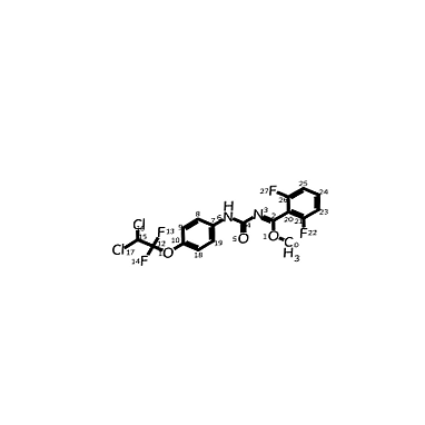 COC(=NC(=O)Nc1ccc(OC(F)(F)C(Cl)Cl)cc1)c1c(F)cccc1F